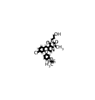 Cn1c(=O)n(CCCO)c(=O)c2c(Cc3ccc(Cl)cc3)c(Oc3cccc(OC(C)(F)F)c3)cnc21